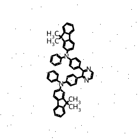 CC1(C)c2ccccc2-c2ccc(N(c3ccccc3)c3ccc(-c4nccnc4-c4ccc(N(c5ccccc5)c5ccc6c(c5)C(C)(C)c5ccccc5-6)cc4)cc3)cc21